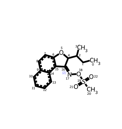 CCC(C)C1Oc2ccc3ccccc3c2/C1=N/OS(C)(=O)=O